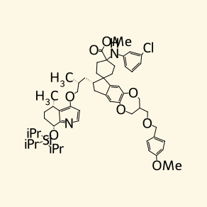 COC(=O)C1(Nc2cccc(Cl)c2)CCC2(CC1)c1cc3c(cc1C[C@@H]2C[C@@H](C)COc1ccnc2c1[C@@H](C)CC[C@H]2O[Si](C(C)C)(C(C)C)C(C)C)OCC(COCc1ccc(OC)cc1)CO3